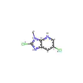 Cn1c(Cl)nc2cc(Cl)cnc21